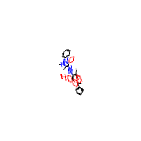 Cc1c(/N=N/C2=C(O)OC(C)(c3ccccc3)OC2C)c(=O)n(-c2ccccc2)n1C